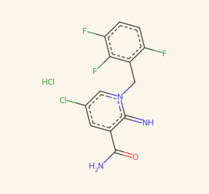 Cl.N=c1c(C(N)=O)cc(Cl)cn1Cc1c(F)ccc(F)c1F